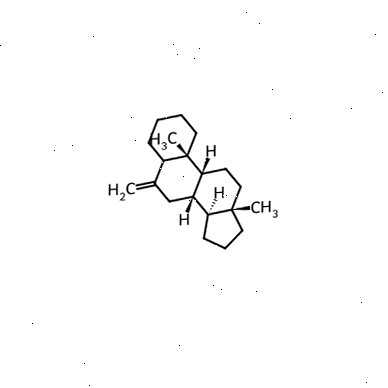 C=C1C[C@@H]2[C@@H](CC[C@]3(C)CCC[C@@H]23)[C@@]2(C)CCCCC12